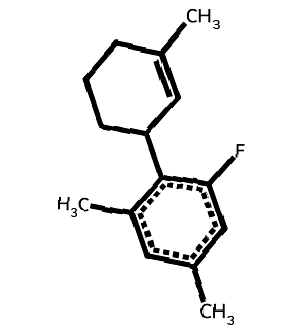 CC1=CC(c2c(C)cc(C)cc2F)CCC1